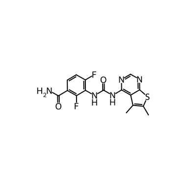 Cc1sc2ncnc(NC(=O)Nc3c(F)ccc(C(N)=O)c3F)c2c1C